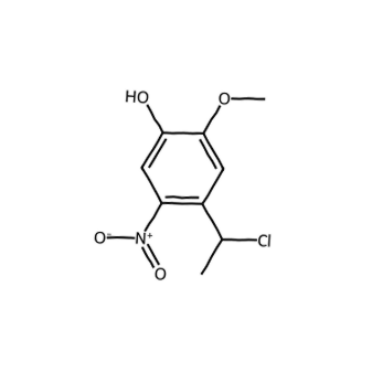 COc1cc(C(C)Cl)c([N+](=O)[O-])cc1O